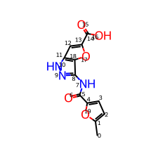 Cc1ccc(C(=O)Nc2n[nH]c3cc(C(=O)O)oc23)o1